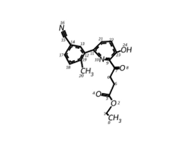 CCOC(=O)CCC(=O)c1nc(-c2cc(C#N)ccc2C)ccc1O